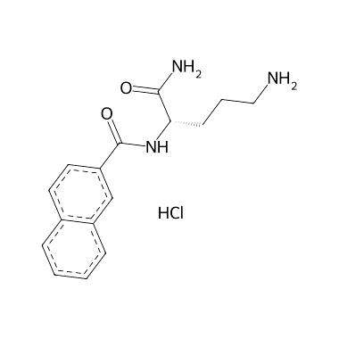 Cl.NCCC[C@H](NC(=O)c1ccc2ccccc2c1)C(N)=O